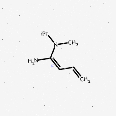 C=C/C=C(/N)N(C)C(C)C